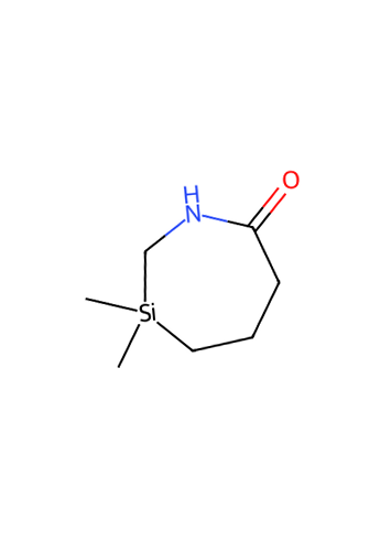 C[Si]1(C)CCCC(=O)NC1